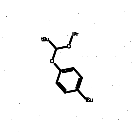 CCC(C)c1ccc(OC(OC(C)C)C(C)(C)C)cc1